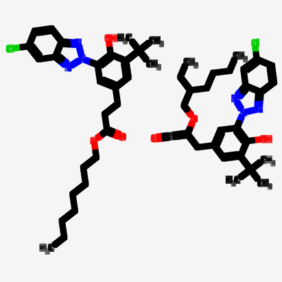 CCCCC(CC)COC(=C=O)Cc1cc(-n2nc3ccc(Cl)cc3n2)c(O)c(C(C)(C)C)c1.CCCCCCCCOC(=O)CCc1cc(-n2nc3ccc(Cl)cc3n2)c(O)c(C(C)(C)C)c1